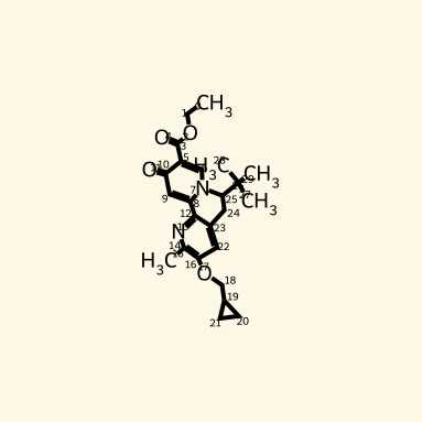 CCOC(=O)c1cn2c(cc1=O)-c1nc(C)c(OCC3CC3)cc1CC2C(C)(C)C